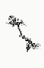 Cc1ncsc1-c1ccc(CNC(=O)[C@@H]2C[C@@H](O)CN2C(=O)[C@@H](NC(=O)C2(F)CC2)C(C)(C)C)c(OCCCCCCCC(=O)N2CCN(c3ncc(-c4cc(NC(=O)c5ccc(F)cc5C(F)(F)F)c(N5C[C@@H](C)N(C)[C@@H](C)C5)cc4F)cn3)CC2)c1